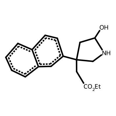 CCOC(=O)CC1(c2ccc3ccccc3c2)CNC(O)C1